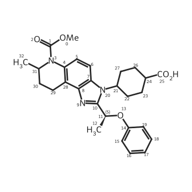 COC(=O)N1c2ccc3c(nc([C@H](C)Oc4ccccc4)n3C3CCC(C(=O)O)CC3)c2CCC1C